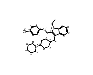 CCn1c(COc2ccc(Cl)cc2)c(CN2CCC(N3CCCCC3)CC2)c2ccccc21